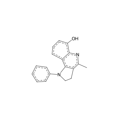 Cc1nc2c(O)cccc2c2c1CCN2c1ccccc1